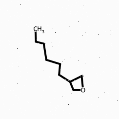 CCCCCCC1[CH]OC1